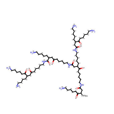 CCCCCCC(CC(=O)NCCCCCC(=O)C(CCCCCNC(=O)CC(CCCCCN)C(=O)CCCCCN)CC(=O)NCCCCCC(=O)CC(CCCCCN)C(=O)NCCCCCC(=O)CC(CCCCN)C(=O)CCCCCN)C(=O)CCCCCN